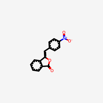 O=C1OC(=Cc2ccc([N+](=O)[O-])cc2)c2ccccc21